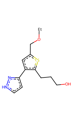 CCOCc1cc(-c2cc[nH]n2)c(CCCO)s1